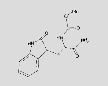 CC(C)(C)OC(=O)N[C@@H](CC1C(=O)Nc2ccccc21)C(N)=O